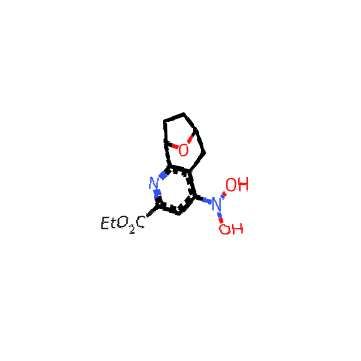 CCOC(=O)c1cc(N(O)O)c2c(n1)C1CCC(C2)O1